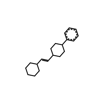 C(=CC1CCC(c2ccccc2)CC1)C1CCCCC1